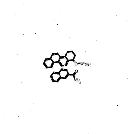 CCCCCOC1CCCc2c1ccc1c2ccc2ccccc21.NC(=O)c1ccc2ccccc2c1